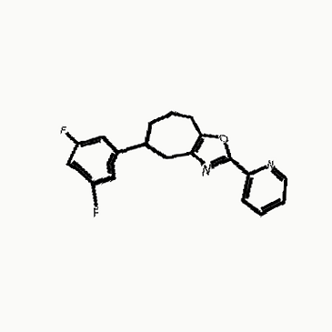 Fc1cc(F)cc(C2CCCc3oc(-c4ccccn4)nc3C2)c1